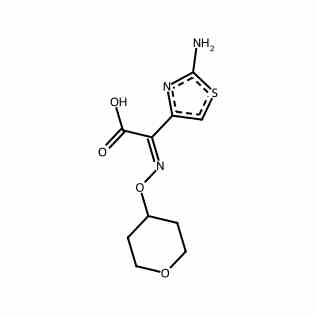 Nc1nc(C(=NOC2CCOCC2)C(=O)O)cs1